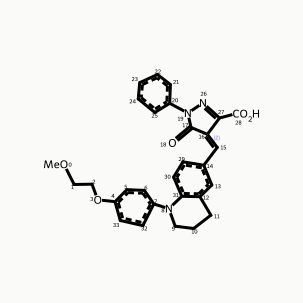 COCCOc1ccc(N2CCCc3cc(/C=C4\C(=O)N(c5ccccc5)N=C4C(=O)O)ccc32)cc1